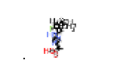 C[Si](C)(C)c1ccc(F)c2c1CC[C@H]2Nc1cnc([C@H]2C[C@@H]2C(=O)O)cn1